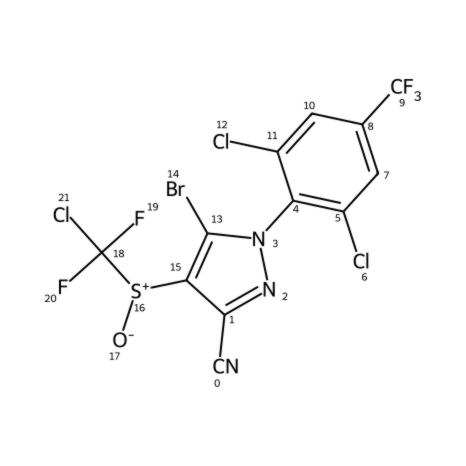 N#Cc1nn(-c2c(Cl)cc(C(F)(F)F)cc2Cl)c(Br)c1[S+]([O-])C(F)(F)Cl